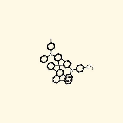 Cc1ccc(N(c2ccccc2)c2ccc3c(c2)C2(c4cc(N(c5ccccc5)c5ccc(C(F)(F)F)cc5)ccc4-3)c3ccccc3-c3c2cc2c4c(cccc34)-c3ccccc3-2)cc1